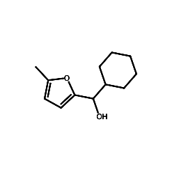 Cc1ccc(C(O)C2CCCCC2)o1